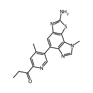 CCC(=O)c1cc(C)c(-c2cc3nc(N)sc3c3c2ncn3C)cn1